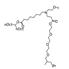 CCCCCCCCC(CCCCCCCC)OC(=O)CCCCCCCN(CCOI)CCC(=O)OCCOCCOCCOCC(C)CC(C)C